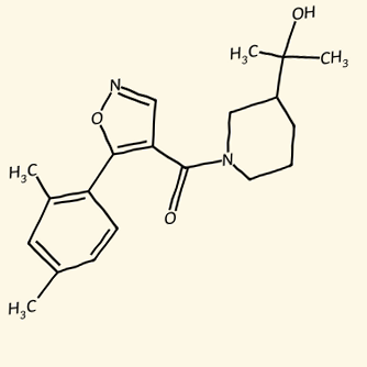 Cc1ccc(-c2oncc2C(=O)N2CCCC(C(C)(C)O)C2)c(C)c1